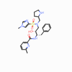 Cc1cccc(C(=O)N[C@@H](Cc2ccccc2)[C@H](O)CN(CC2CCCN2)S(=O)(=O)c2cn(C)cn2)n1